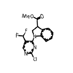 COC(=O)C1CN(c2nc(Cl)ncc2C(F)F)c2ccccc21